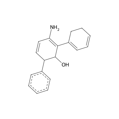 NC1=C(C2=CC=CCC2)C(O)C(c2ccccc2)C=C1